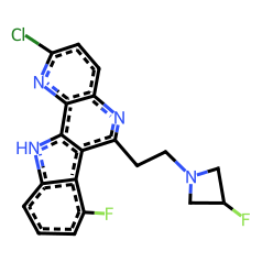 Fc1cccc2[nH]c3c4nc(Cl)ccc4nc(CCN4CC(F)C4)c3c12